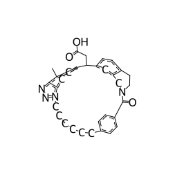 Cc1c2ccc3c1nnn3CCCCCCc1ccc(cc1)C(=O)N1CCc3ccc(cc3C1)C2CC(=O)O